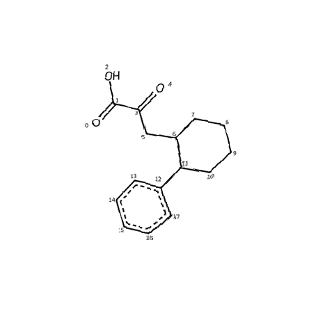 O=C(O)C(=O)CC1CCCCC1c1ccccc1